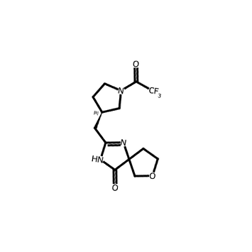 O=C(N1CC[C@H](CC2=NC3(CCOC3)C(=O)N2)C1)C(F)(F)F